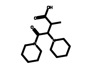 CC(C(=O)O)C(C(=O)N1CCCCC1)N1CCCCC1